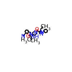 CCCc1c(C(=O)N2CCC3(CC2)NC(C(C)C)C(=O)N3Cc2cccc(C#N)c2)cnn1-c1ccccc1